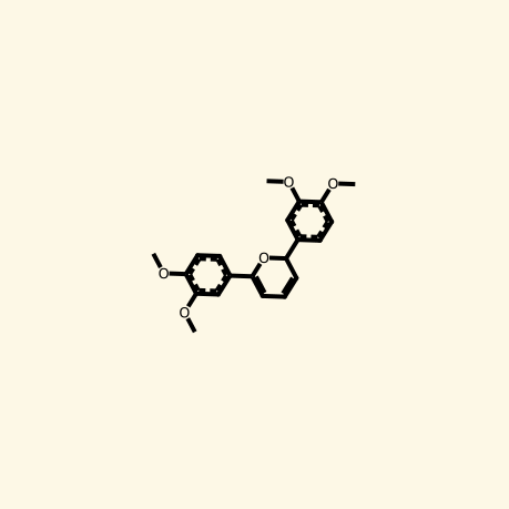 COc1ccc(C2=CC=CC(c3ccc(OC)c(OC)c3)O2)cc1OC